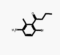 CCCC(=O)c1c(Br)ccc(N)c1C